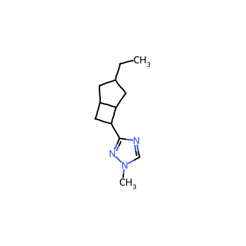 CCC1CC2CC(c3ncn(C)n3)C2C1